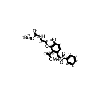 CCc1ccc(CS(=O)(=O)c2ccccc2)c(C(=O)OC)c1OCCNC(=O)OC(C)(C)C